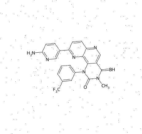 B=C1c2cnc3ccc(-c4ccc(N)nc4)nc3c2N(c2cccc(C(F)(F)F)c2)C(=O)N1C